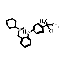 CN(Cc1ccccc1Nc1ccc(C(C)(C)C)cc1)C1CCCCC1